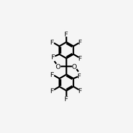 COC(OC)(c1c(F)c(F)c(F)c(F)c1F)c1c(F)c(F)c(F)c(F)c1F